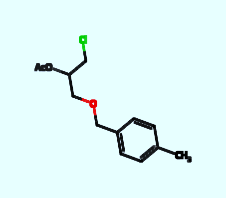 CC(=O)OC(CCl)COCc1ccc(C)cc1